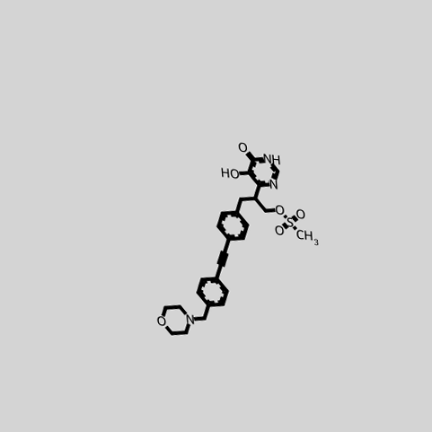 CS(=O)(=O)OCC(Cc1ccc(C#Cc2ccc(CN3CCOCC3)cc2)cc1)c1nc[nH]c(=O)c1O